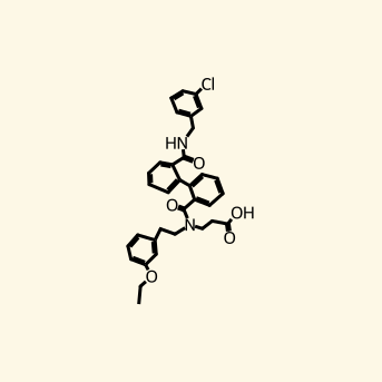 CCOc1cccc(CCN(CCC(=O)O)C(=O)c2ccccc2-c2ccccc2C(=O)NCc2cccc(Cl)c2)c1